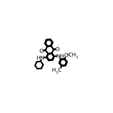 COc1ccc(C)cc1Nc1ccc(NC2CCCCC2)c2c1C(=O)c1ccccc1C2=O